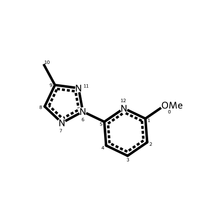 COc1cccc(-n2ncc(C)n2)n1